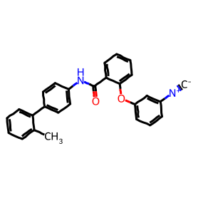 [C-]#[N+]c1cccc(Oc2ccccc2C(=O)Nc2ccc(-c3ccccc3C)cc2)c1